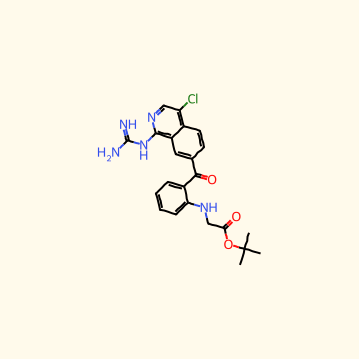 CC(C)(C)OC(=O)CNc1ccccc1C(=O)c1ccc2c(Cl)cnc(NC(=N)N)c2c1